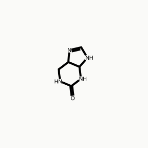 O=C1NCC2N=CNC2N1